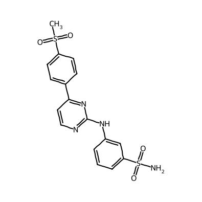 CS(=O)(=O)c1ccc(-c2ccnc(Nc3cccc(S(N)(=O)=O)c3)n2)cc1